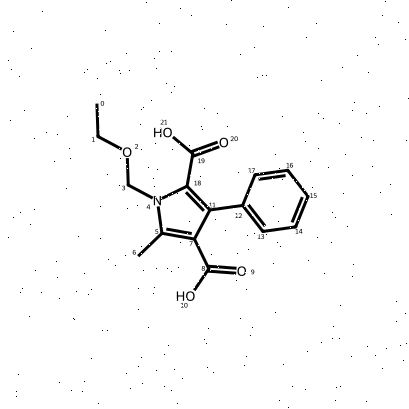 CCOCn1c(C)c(C(=O)O)c(-c2ccccc2)c1C(=O)O